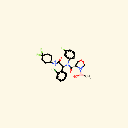 CB(O)N1COC[C@H]1C(=O)N(c1cccc(F)c1)[C@H](C(=O)NC1CCC(F)(F)CC1)c1ccccc1Cl